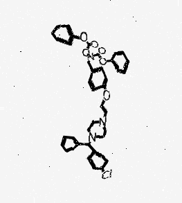 O=C(Oc1ccccc1)ON(Cc1ccc(OCCN2CCN([C@H](c3ccccc3)c3ccc(Cl)cc3)CC2)cc1)C(=O)Oc1ccccc1